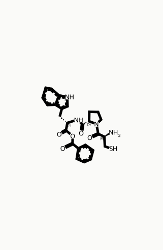 N[C@@H](CS)C(=O)N1CCC[C@H]1C(=O)N[C@@H](Cc1c[nH]c2ccccc12)C(=O)OC(=O)c1ccccc1